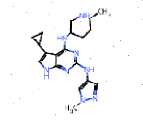 C[C@H]1CC[C@@H](Nc2nc(Nc3cnn(C)c3)nc3[nH]cc(C4CC4)c23)CN1